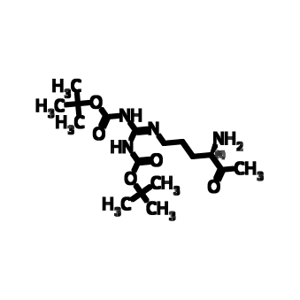 CC(=O)[C@H](N)CCCN=C(NC(=O)OC(C)(C)C)NC(=O)OC(C)(C)C